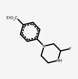 CCOC(=O)c1ccc(N2CCNC(F)C2)cc1